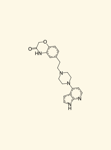 O=C1COc2ccc(CCN3CCN(c4ccnc5[nH]ccc45)CC3)cc2N1